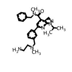 CC(C)n1ncc2c(C(=O)N(C)Cc3ccccc3)cc(-c3cccc(CN(C)CCN)c3)nc21